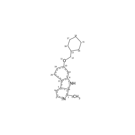 Cc1nccc2c1[nH]c1cc(OCC3CCCCC3)ccc12